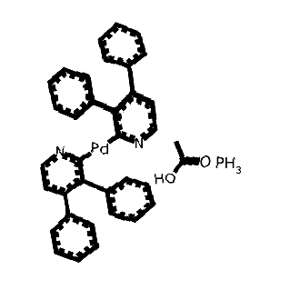 CC(=O)O.P.c1ccc(-c2ccn[c]([Pd][c]3nccc(-c4ccccc4)c3-c3ccccc3)c2-c2ccccc2)cc1